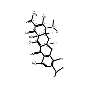 CN(C)c1cc(O)c2c(c1F)C[C@H]1C[C@H]3[C@H](N(C)C)C(O)=C(C(N)=O)C(=O)[C@@]3(O)C(O)=C1C2=O